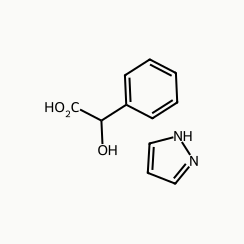 O=C(O)C(O)c1ccccc1.c1cn[nH]c1